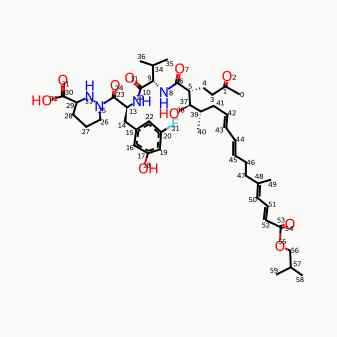 CC(=O)CC[C@@H](C(=O)N[C@H](C(=O)N[C@@H](Cc1cc(O)cc(F)c1)C(=O)N1CCCC(C(=O)O)N1)C(C)C)[C@H](O)[C@@H](C)C/C=C/C=C/CC/C(C)=C/C=C/C(=O)OCC(C)C